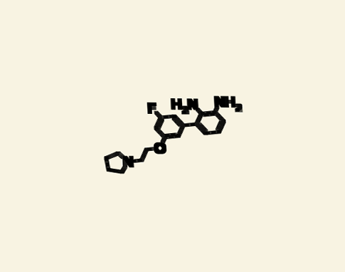 Nc1cccc(-c2cc(F)cc(OCCN3CCCC3)c2)c1N